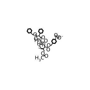 CC(=O)OCC1=CS[C@H]2C(NC(=O)C(C(=O)OCc3ccccc3)c3ccccc3)C(=O)N2C1C(=O)OCc1ccc([N+](=O)[O-])cc1